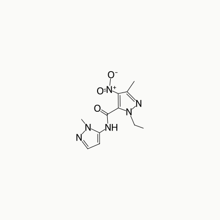 CCn1nc(C)c([N+](=O)[O-])c1C(=O)Nc1ccnn1C